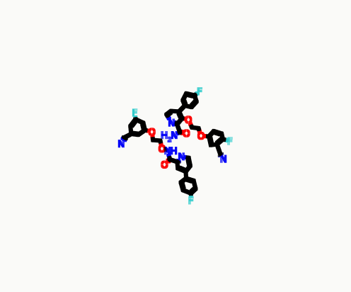 N#Cc1cc(F)cc(OCCONC(=O)c2cc(-c3ccc(F)cc3)ccn2)c1.N#Cc1cc(OCCOc2c(-c3ccc(F)cc3)ccnc2C(N)=O)ccc1F